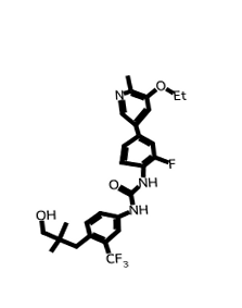 CCOc1cc(-c2ccc(NC(=O)Nc3ccc(CC(C)(C)CO)c(C(F)(F)F)c3)c(F)c2)cnc1C